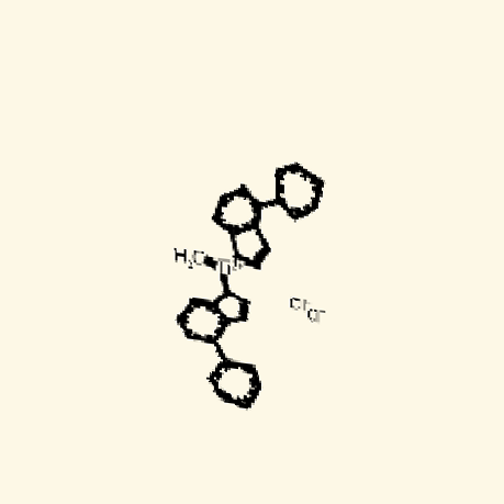 [CH2]=[Ti+2]([CH]1C=Cc2c(-c3ccccc3)cccc21)[CH]1C=Cc2c(-c3ccccc3)cccc21.[Cl-].[Cl-]